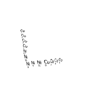 [Cu].[Cu].[Cu].[Cu].[Cu].[Cu].[Cu].[Cu].[Ni].[Ni].[Ni].[Ni].[Ni]